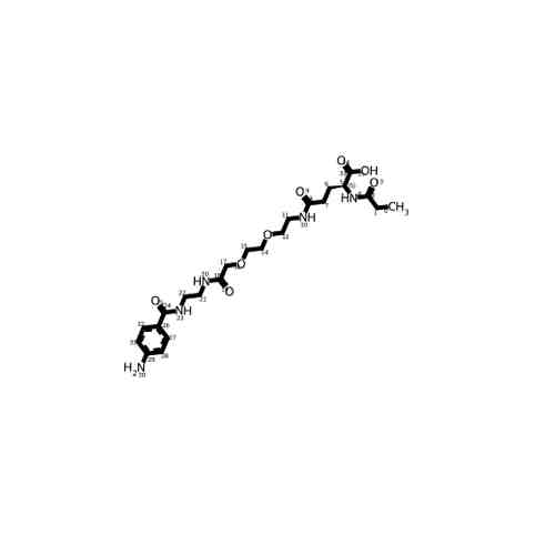 CCC(=O)N[C@@H](CCC(=O)NCCOCCOCC(=O)NCCNC(=O)c1ccc(N)cc1)C(=O)O